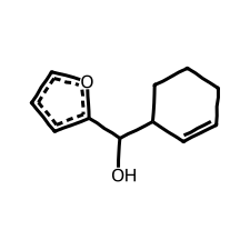 OC(c1ccco1)C1C=CCCC1